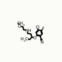 CCC(CCNCCOC)Oc1cc(Cl)c(F)cc1C#N